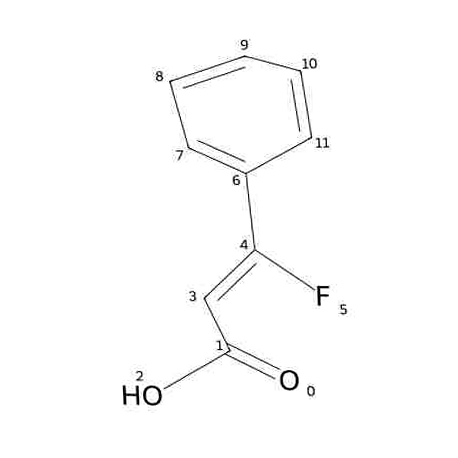 O=C(O)C=C(F)c1ccccc1